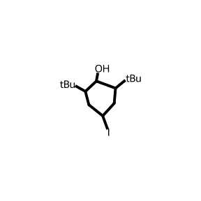 CC(C)(C)C1CC(I)CC(C(C)(C)C)C1O